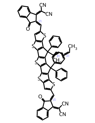 C/C=C\C=C(/C)C1(c2ccccc2)c2c(sc3c2C(c2ccccc2)(c2ccccc2)c2c-3sc3cc(/C=C4\C(=O)c5ccccc5C4=C(C#N)C#N)sc23)-c2sc3cc(/C=C4\C(=O)c5ccccc5C4=C(C#N)C#N)sc3c21